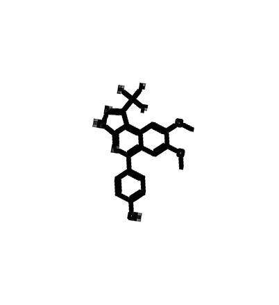 COc1cc2c(-c3ccc(O)cc3)nc3[nH]nc(C(F)(F)F)c3c2cc1OC